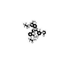 CCc1cc(C(Nc2ccc3c(N)nccc3c2)c2nc(-c3ccccc3C(N)=O)c[nH]2)c(F)c(N2CCCC2=O)c1.O=C(O)C(F)(F)F.O=C(O)C(F)(F)F